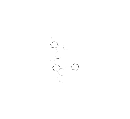 COC(=O)c1ccc(NC(=O)CC(C[N+](=O)[O-])c2ccc(Cl)cc2)cc1OCc1ccccc1